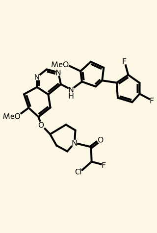 COc1ccc(-c2ccc(F)cc2F)cc1Nc1ncnc2cc(OC)c(OC3CCN(C(=O)C(F)Cl)CC3)cc12